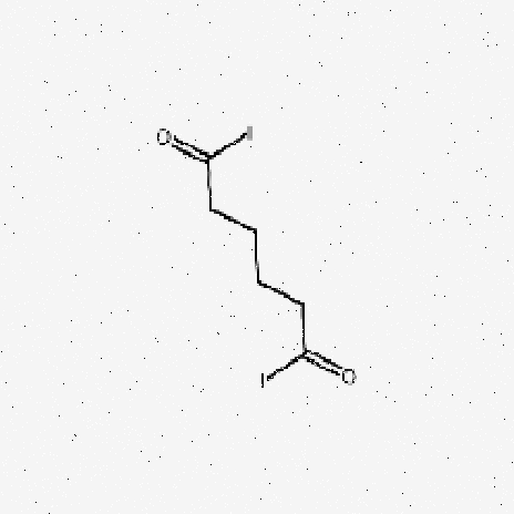 O=C(I)CCCCC(=O)I